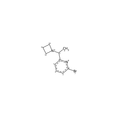 CC(c1cccc(Br)n1)N1CCC1